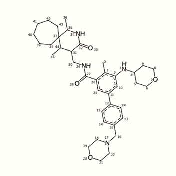 Cc1c(NC2CCOCC2)cc(-c2ccc(CN3CCOCC3)cc2)cc1C(=O)NCC1C(=O)NC(C)C2(CCCCCC2)C1C